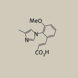 COc1cccc(C=CC(=O)O)c1-n1cnc(C)c1